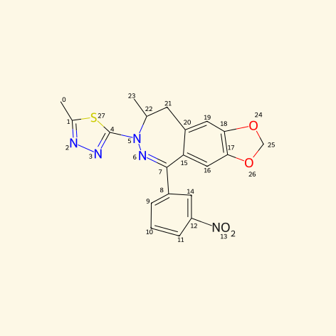 Cc1nnc(N2N=C(c3cccc([N+](=O)[O-])c3)c3cc4c(cc3CC2C)OCO4)s1